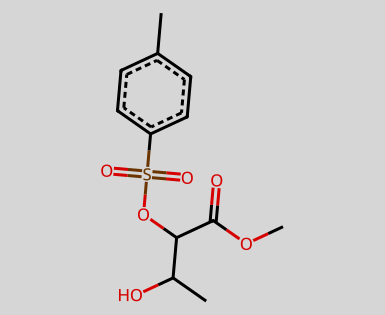 COC(=O)C(OS(=O)(=O)c1ccc(C)cc1)C(C)O